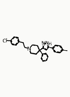 Cc1ccc(-c2cc(C3(c4ccccc4)CCN(CCc4ccc(Cl)cc4)CC3)n[nH]2)cc1